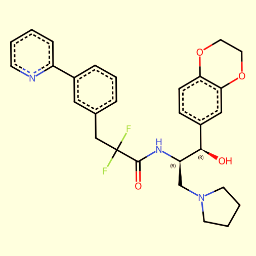 O=C(N[C@H](CN1CCCC1)[C@H](O)c1ccc2c(c1)OCCO2)C(F)(F)Cc1cccc(-c2ccccn2)c1